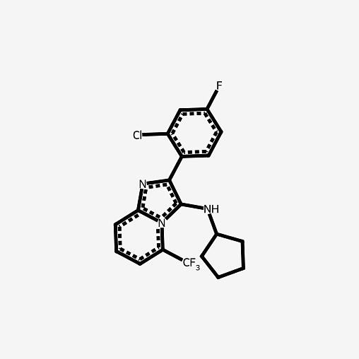 Fc1ccc(-c2nc3cccc(C(F)(F)F)n3c2NC2CCCC2)c(Cl)c1